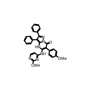 COc1ccc(-c2c(Nc3ccnc(OC)n3)[nH]c3c(-c4ccccc4)c(-c4ccccc4)nn3c2=O)cc1